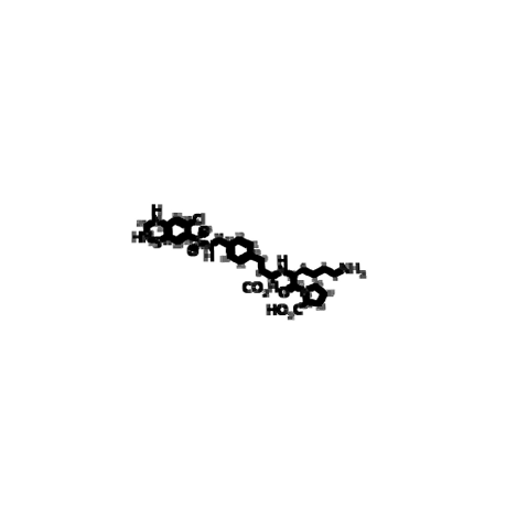 NCCCC[C@H](N[C@@H](CCc1ccc(CNS(=O)(=O)c2cc3c(cc2Cl)NCNS3)cc1)C(=O)O)C(=O)N1CCC[C@H]1C(=O)O